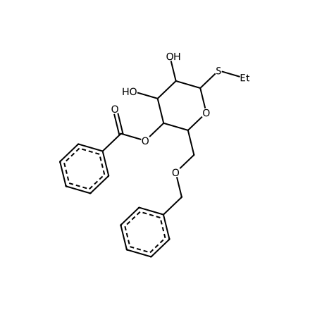 CCSC1OC(COCc2ccccc2)C(OC(=O)c2ccccc2)C(O)C1O